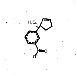 C[C@]1(c2cccc([N+](=O)[O-])c2)C=CCC1